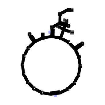 [2H]C([2H])([2H])N1CC(=O)OCCCC/C=C\CCCCCCCC(=O)N/C1=N/C(=O)OC(C)(C)C